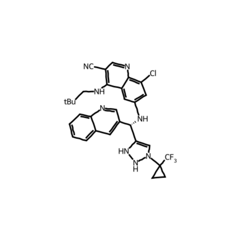 CC(C)(C)CNc1c(C#N)cnc2c(Cl)cc(N[C@H](C3=CN(C4(C(F)(F)F)CC4)NN3)c3cnc4ccccc4c3)cc12